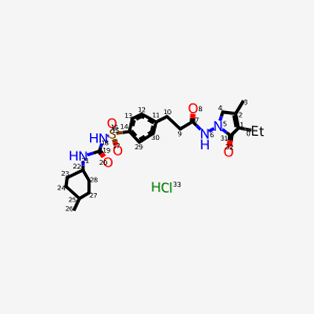 CCC1=C(C)CN(NC(=O)CCc2ccc(S(=O)(=O)NC(=O)NC3CCC(C)CC3)cc2)C1=O.Cl